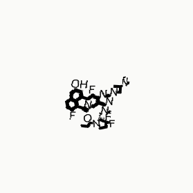 C#Cc1c(F)ccc2cc(O)cc(-c3ncc4c(N(C)C[C@H]5N(C(=O)C=C)CCC5(F)F)nc(N5CC(N(C)C)C5)nc4c3F)c12